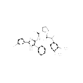 COc1ccc(C(C)C(=O)N2CCC[C@@H]2C(=O)Nc2nc(-c3ccc(F)s3)[nH]c2-c2ccccc2)cc1OC